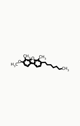 CCCCCCCc1ccc2c(oc3c(C)c(OC)ccc32)c1C